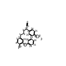 C#CC(CCCc1ccc(F)c(Oc2ccccc2)c1)c1ccc(C(F)(F)F)cc1